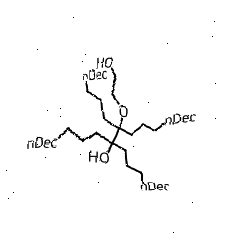 CCCCCCCCCCCCCC(O)(CCCCCCCCCCCCC)C(CCCCCCCCCCCCC)(CCCCCCCCCCCCC)OCCO